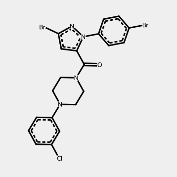 O=C(c1cc(Br)nn1-c1ccc(Br)cc1)N1CCN(c2cccc(Cl)c2)CC1